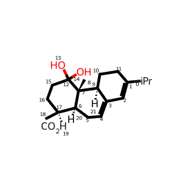 CC(C)C1=CC2=CC[C@@H]3[C@@](C)([C@H]2CC1)C(O)(O)CC[C@@]3(C)C(=O)O